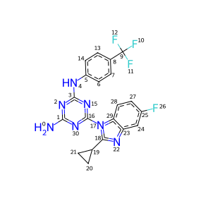 Nc1nc(Nc2ccc(C(F)(F)F)cc2)nc(-n2c(C3CC3)nc3cc(F)ccc32)n1